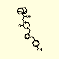 N#Cc1ccc(Cn2cncc2CN2CCN(CC(O)C34CC5CC(CC(C5)C3)C4)C(=O)C2)cc1